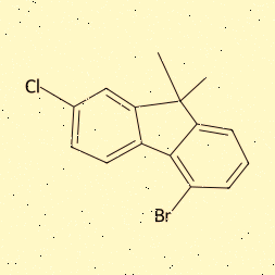 CC1(C)c2cc(Cl)ccc2-c2c(Br)cccc21